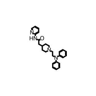 O=C(CC1CCN(CCN(c2ccccc2)c2ccccc2)CC1)Nc1ccccn1